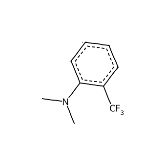 CN(C)c1c[c]ccc1C(F)(F)F